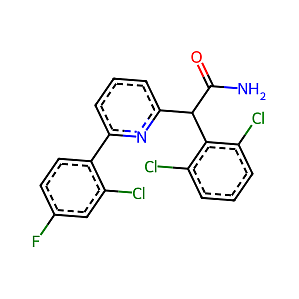 NC(=O)C(c1cccc(-c2ccc(F)cc2Cl)n1)c1c(Cl)cccc1Cl